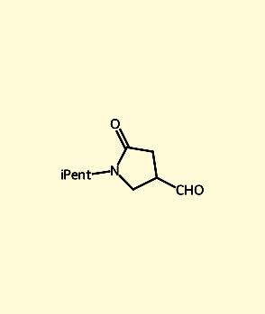 CCCC(C)N1CC(C=O)CC1=O